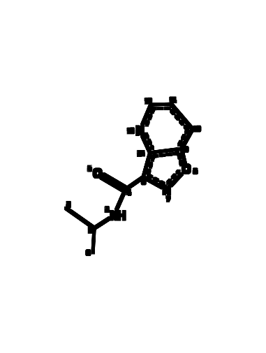 CC(C)NC(=O)c1noc2cccnc12